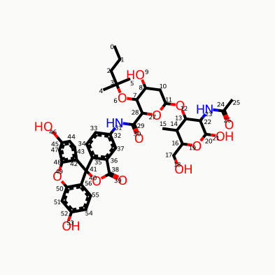 CCCC(C)(C)OC1C(O)CC(OC2C(C)C(CO)OC(O)C2NC(C)=O)OC1C(=O)Nc1ccc2c(c1)C(=O)OC21c2ccc(O)cc2Oc2cc(O)ccc21